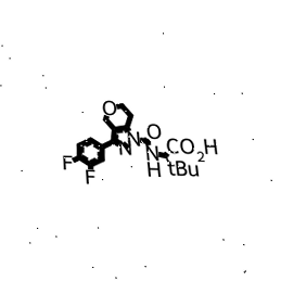 CC(C)(C)[C@H](NC(=O)n1nc(-c2ccc(F)c(F)c2)c2c1CCOC2)C(=O)O